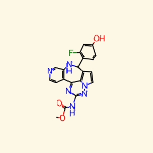 COC(=O)Nc1nc2c3c(ccn3n1)C(c1ccc(O)cc1F)Nc1cnccc1-2